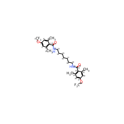 Cc1cc(OC(F)(F)F)cc(C)c1C(=O)NCCCCCCCNC(=O)c1c(C)cc(OC(F)(F)F)cc1C